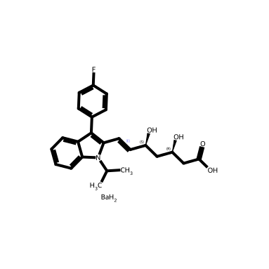 CC(C)n1c(/C=C/[C@@H](O)C[C@@H](O)CC(=O)O)c(-c2ccc(F)cc2)c2ccccc21.[BaH2]